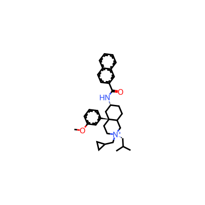 COc1cccc([C@]23CC[N@+](CC(C)C)(CC4CC4)CC2CC[C@@H](NC(=O)c2ccc4ccccc4c2)C3)c1